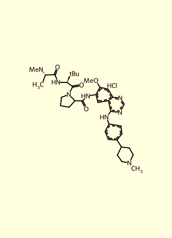 CN[C@@H](C)C(=O)N[C@H](C(=O)N1CCCC1C(=O)Nc1cc2c(Nc3ccc(C4CCN(C)CC4)cc3)ncnc2cc1OC)C(C)(C)C.Cl